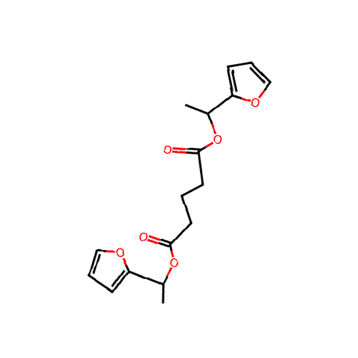 CC(OC(=O)CCCC(=O)OC(C)c1ccco1)c1ccco1